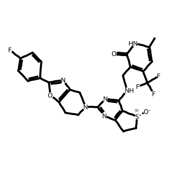 Cc1cc(C(F)(F)F)c(CNc2nc(N3CCc4oc(-c5ccc(F)cc5)nc4C3)nc3c2[S@+]([O-])CC3)c(=O)[nH]1